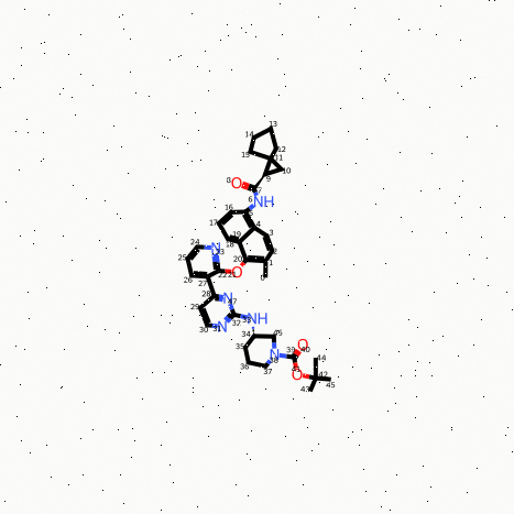 Cc1ccc2c(NC(=O)[C@@H]3CC34CCCC4)cccc2c1Oc1ncccc1-c1ccnc(N[C@H]2CCCN(C(=O)OC(C)(C)C)C2)n1